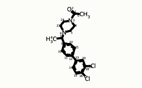 CC(=O)N1CCN(C(C)c2ccc(-c3ccc(Cl)c(Cl)c3)cc2)CC1